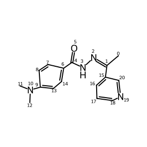 CC(=NNC(=O)c1ccc(N(C)C)cc1)c1cccnc1